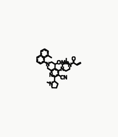 C=CC(=O)N1CCN(c2c(C#N)c(C3CCCN3C)nc3c2C(OC)CN(c2cccc4cccc(C)c24)C3)CC1C